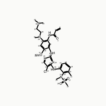 C=CC(=O)Nc1cc(Nc2ncc(Cl)c(Nc3cccc(C)c3N(C)S(C)(=O)=O)n2)c(OC)cc1N(C)CCN(C)C